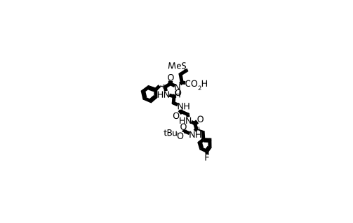 CSCCC(NC(=O)[C@@H](Cc1ccccc1)NC(=O)CNC(=O)CNC(=O)[C@@H](Cc1ccc(F)cc1)NC(=O)OC(C)(C)C)C(=O)O